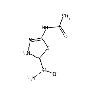 CC(=O)NC1=NNC([S+](N)[O-])S1